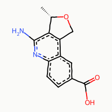 C[C@@H]1OCc2c1c(N)nc1ccc(C(=O)O)cc21